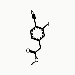 COC(=O)Cc1ccc(C#N)c(I)c1